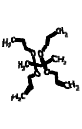 C=CCOC(C)(OCC=C)C(C)(OCC=C)OCC=C